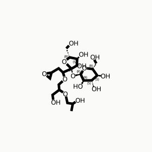 CC(O)COC(CO)COC(CC1CO1)[C@@]1(O[C@H]2O[C@H](CO)[C@@H](O)[C@H](O)[C@H]2O)O[C@H](CO)[C@@H](O)[C@@H]1O